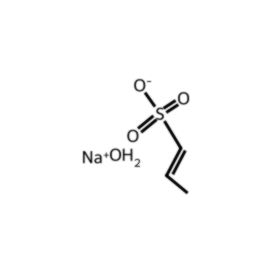 CC=CS(=O)(=O)[O-].O.[Na+]